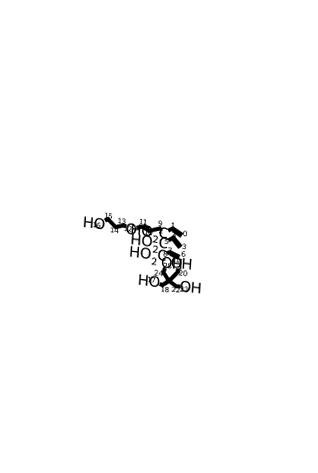 C=CC(=O)O.C=CC(=O)O.C=CC(=O)O.CC=COCCCO.OCC(CO)(CO)CO